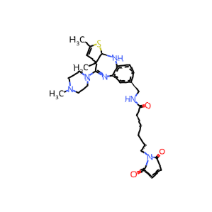 CC1=CC2(C)C(N3CCN(C)CC3)=Nc3cc(CNC(=O)CCCCCN4C(=O)C=CC4=O)ccc3NC2S1